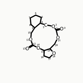 O=C1OCC2CCCCC2COC(=O)OC2CCOC2CO1